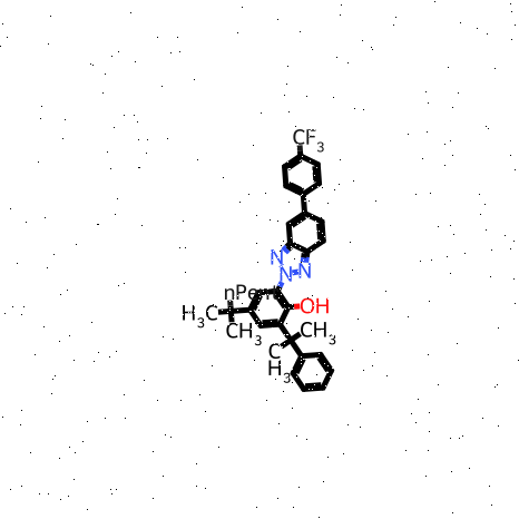 CCCCCC(C)(C)c1cc(-n2nc3ccc(-c4ccc(C(F)(F)F)cc4)cc3n2)c(O)c(C(C)(C)c2ccccc2)c1